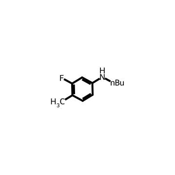 CCCCNc1ccc(C)c(F)c1